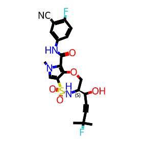 Cn1cc2c(c1C(=O)Nc1ccc(F)c(C#N)c1)OC[C@@H](C(O)C#CC(C)(C)F)NS2(=O)=O